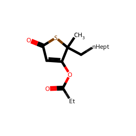 CCCCCCCCC1(C)SC(=O)C=C1OC(=O)CC